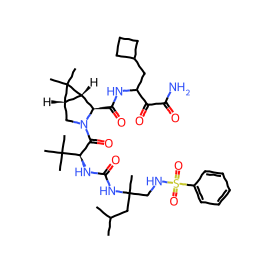 CC(C)CC(C)(CNS(=O)(=O)c1ccccc1)NC(=O)N[C@H](C(=O)N1C[C@H]2[C@@H]([C@H]1C(=O)NC(CC1CCC1)C(=O)C(N)=O)C2(C)C)C(C)(C)C